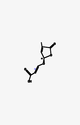 CC1=C[C@H](O/C=C/C(=O)O)OC1=O